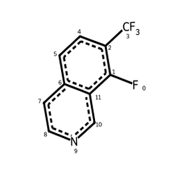 Fc1c(C(F)(F)F)ccc2ccncc12